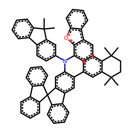 CC1(C)CCC(C)(C)c2cc(-c3cc4c(cc3N(c3ccc5c(c3)C(C)(C)c3ccccc3-5)c3cccc5c3oc3ccccc35)C3(c5ccccc5-c5ccccc53)c3ccccc3-4)ccc21